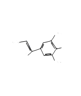 CC/C(=C\NC)c1cc(OC)c(C=O)c(OC)c1